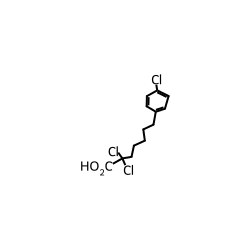 O=C(O)C(Cl)(Cl)CCCCCc1ccc(Cl)cc1